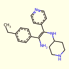 CCc1ccc(/C(N)=C(/NC2CCNCC2)c2ccncc2)cc1